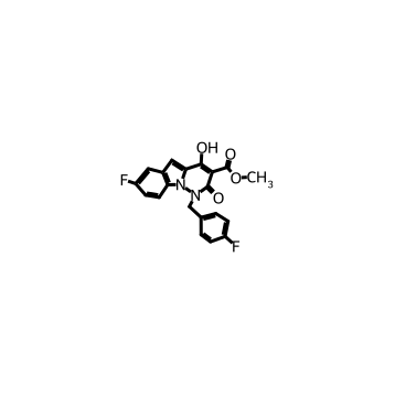 COC(=O)c1c(O)c2cc3cc(F)ccc3n2n(Cc2ccc(F)cc2)c1=O